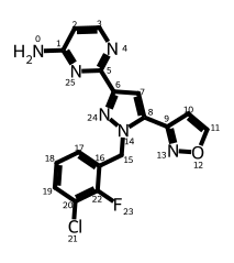 Nc1ccnc(-c2cc(-c3ccon3)n(Cc3cccc(Cl)c3F)n2)n1